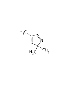 CC1=CC(C)(C)N=C1